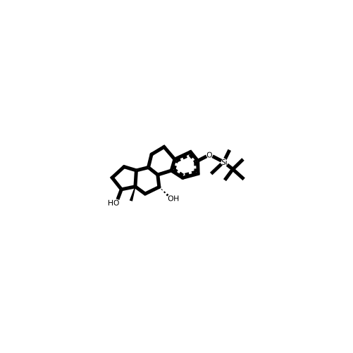 CC(C)(C)[Si](C)(C)Oc1ccc2c(c1)CCC1C2[C@H](O)C[C@]2(C)C(O)CCC12